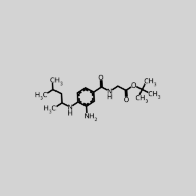 CC(C)CC(C)Nc1ccc(C(=O)NCC(=O)OC(C)(C)C)cc1N